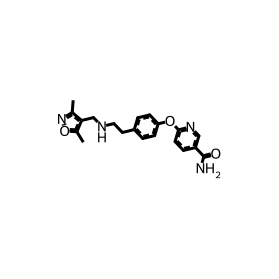 Cc1noc(C)c1CNCCc1ccc(Oc2ccc(C(N)=O)cn2)cc1